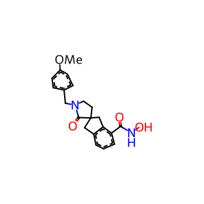 COc1ccc(CN2CCC3(Cc4cccc(C(=O)NO)c4C3)C2=O)cc1